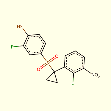 O=[N+]([O-])c1cccc(C2(S(=O)(=O)c3ccc(S)c(F)c3)CC2)c1F